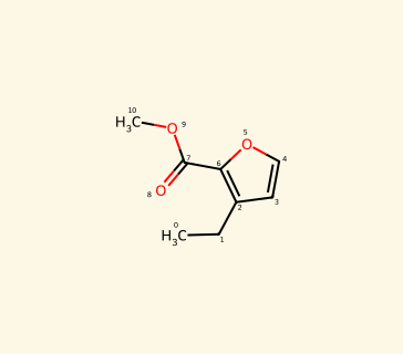 CCc1ccoc1C(=O)OC